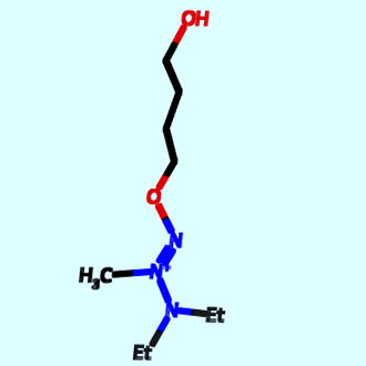 CCN(CC)/[N+](C)=N/OCCCCO